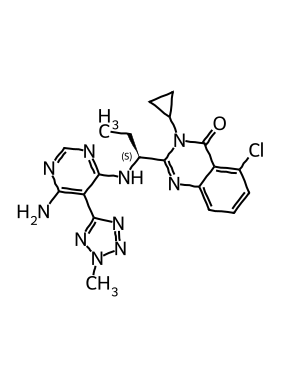 CC[C@H](Nc1ncnc(N)c1-c1nnn(C)n1)c1nc2cccc(Cl)c2c(=O)n1C1CC1